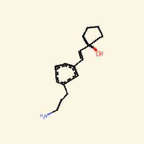 NCCCc1cccc(/C=C/C2(O)CCCC2)c1